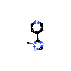 Cn1ncnc1-c1ccncc1